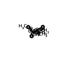 Cc1ccc(OC(=O)N[C@@H](Cc2ccccc2)[C@H](O)C(=O)N2CSC(C)(C)[C@H]2C(=O)NCc2ccccc2C)cc1